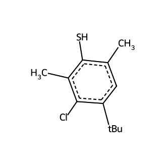 Cc1cc(C(C)(C)C)c(Cl)c(C)c1S